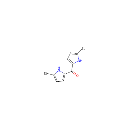 CCc1ccc(C(=O)c2ccc(CC)[nH]2)[nH]1